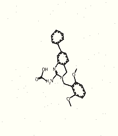 CC(=O)O.COc1cccc(OC)c1CN1Cc2ccc(-c3ccccc3)cc2N=C1N